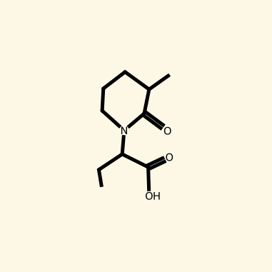 CCC(C(=O)O)N1CCCC(C)C1=O